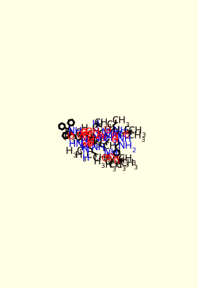 CC[C@H](C)[C@H](NC(=O)[C@H](CCCCNC(=O)OC(C)(C)C)NC(=O)[C@H](CC(=O)OC(C)(C)C)NC(=O)[C@H](CC(C)C)NC(=O)[C@H](CC(C)C)NC(=O)[C@@H](NC(=O)[C@H](COC(C)(C)C)NC(=O)[C@@H](N)Cc1ccc(OC(C)(C)C)cc1)[C@@H](C)CC)C(=O)N[C@@H](C)C(=O)N[C@@H](CCC(=O)NC(c1ccccc1)(c1ccccc1)c1ccccc1)C(=O)N[C@@H](CCCCN)C(=O)O